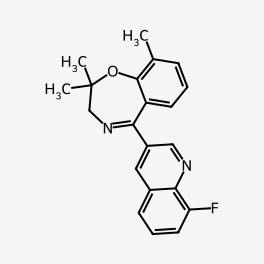 Cc1cccc2c1OC(C)(C)CN=C2c1cnc2c(F)cccc2c1